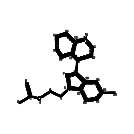 CC(=O)OCCn1nc(-c2ccnc3ccccc23)c2cc(C)ccc21